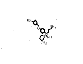 CC1CCCN(C(=N)N(CCCN)c2ccc(OCc3ccc(C(C)(C)C)cc3)cc2)C1